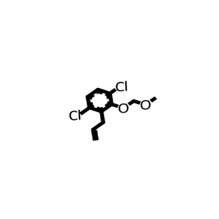 C=CCc1c(Cl)ccc(Cl)c1OCOC